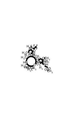 CC[C@H]1OC(=O)[C@H](C)[C@@H](O[C@H]2C[C@@](C)(OC)[C@](O)(CNCCS(C)(=O)=O)[C@H](C)O2)[C@H](C)[C@@H](O[C@@H]2O[C@H](C)C[C@H]3[C@H]2OC(C(F)(F)F)N3C)[C@](C)(O)C[C@@H](C)CN[C@H](C)[C@@H](O)[C@]1(C)O